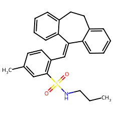 CCCNS(=O)(=O)c1cc(C)ccc1C=C1c2ccccc2CCc2ccccc21